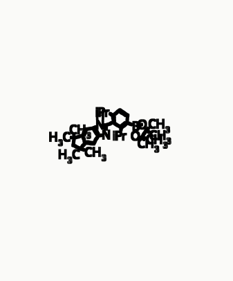 CC(C)c1ccc(B2OC(C)(C)C(C)(C)O2)c(C(C)C)c1-c1nc2cc3c(cc2[nH]1)C(C)(C)CC3(C)C